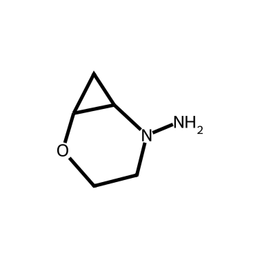 NN1CCOC2CC21